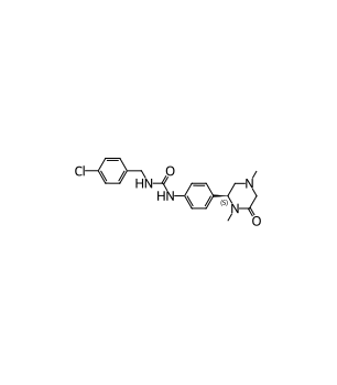 CN1CC(=O)N(C)[C@@H](c2ccc(NC(=O)NCc3ccc(Cl)cc3)cc2)C1